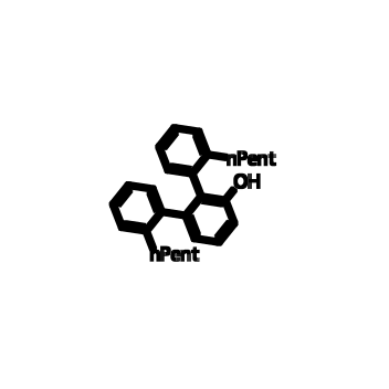 CCCCCc1ccccc1-c1cccc(O)c1-c1ccccc1CCCCC